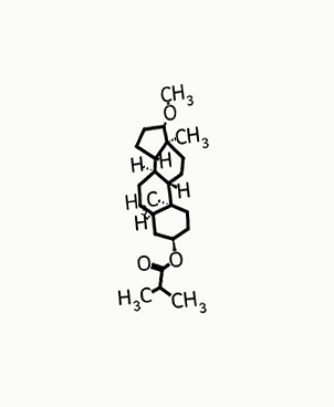 CO[C@H]1CC[C@H]2[C@@H]3CC[C@@H]4C[C@H](OC(=O)C(C)C)CC[C@]4(C)[C@H]3CC[C@]12C